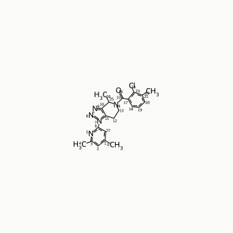 Cc1cc(C)nc(-n2nnc3c2CCN(C(=O)c2cccc(C)c2Cl)C3C)c1